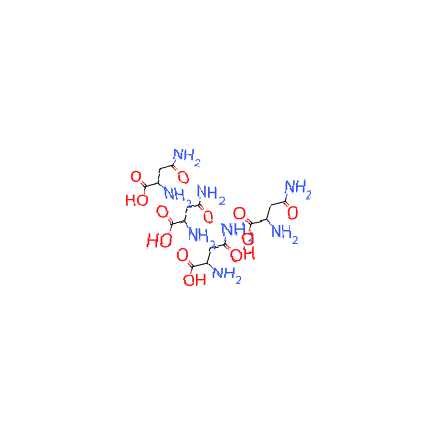 NC(=O)CC(N)C(=O)O.NC(=O)CC(N)C(=O)O.NC(=O)CC(N)C(=O)O.NC(=O)CC(N)C(=O)O